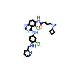 CN(C/C=C/C(=O)Nc1ccc2ncnc(Nc3ccc(NCc4ccccn4)c(Cl)c3)c2c1Cl)C1CCC1